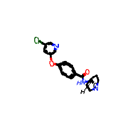 O=C(N[C@H]1CN2CCC1CC2)c1ccc(Oc2cncc(Cl)c2)cc1